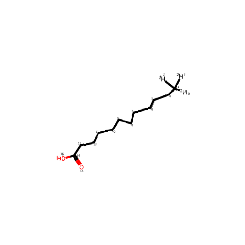 [2H]C([2H])([2H])CCCCCCCCCCC(=O)O